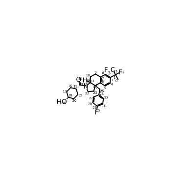 CC(F)(c1ccc2c(c1)CC[C@H]1N(C(=O)[C@H]3CC[C@H](O)CC3)CC[C@@]21Cc1ccc(F)cc1)C(F)(F)F